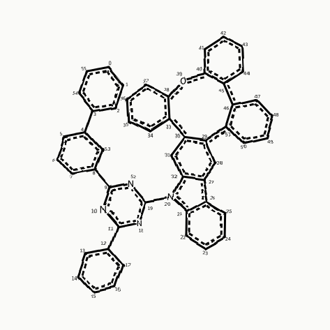 c1ccc(-c2cccc(-c3nc(-c4ccccc4)nc(-n4c5ccccc5c5cc6c(cc54)c4ccccc4oc4ccccc4c4ccccc46)n3)c2)cc1